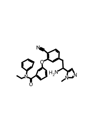 CCN(C(=O)c1cccc(Oc2cc(CC(N)c3cncn3C)ccc2C#N)c1)c1ccccc1